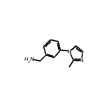 Cc1nccn1-c1cccc(CN)c1